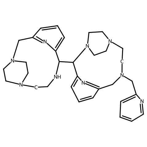 c1ccc(CN2CCN3CCN(CC3)C(C3NCCN4CCN(CC4)Cc4cccc3n4)c3cccc(n3)C2)nc1